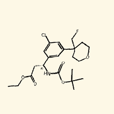 CCOC(=O)C[C@@H](NC(=O)OC(C)(C)C)c1cc(Cl)cc(C2(CF)CCOCC2)c1